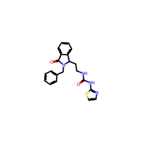 O=C(NCCC1c2ccccc2C(=O)N1Cc1ccccc1)Nc1nccs1